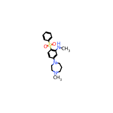 CNc1cc(N2CCCN(C)CC2)ccc1S(=O)(=O)c1ccccc1